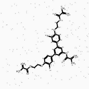 C=C(C)C(=O)OCCOc1ccc(-c2cc(OC(=O)C(=C)C)cc(-c3ccc(OCCOC(=O)C(=C)C)c(F)c3)c2)cc1F